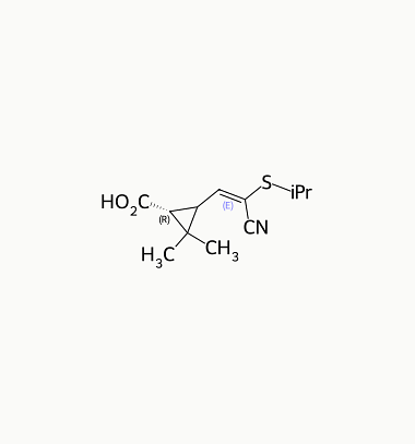 CC(C)S/C(C#N)=C/C1[C@@H](C(=O)O)C1(C)C